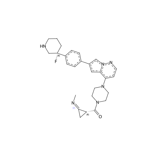 C/N=C1/C[C@H]1C(=O)N1CCN(c2ccnn3cc(-c4ccc([C@]5(F)CCCNC5)cc4)cc23)CC1